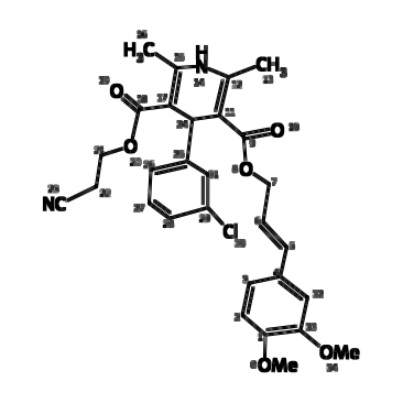 COc1ccc(/C=C/COC(=O)C2=C(C)NC(C)=C(C(=O)OCCC#N)C2c2cccc(Cl)c2)cc1OC